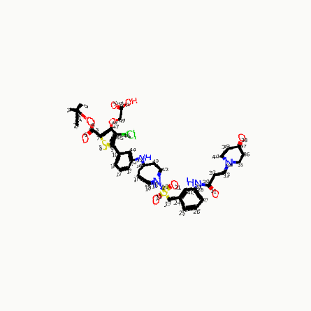 CC(C)(C)OC(=O)c1sc(-c2cccc(NC3CCN(S(=O)(=O)Cc4cccc(NC(=O)CCN5CCC(=O)CC5)c4)CC3)c2)c(Cl)c1OCC(=O)O